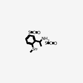 O=C=S.O=C=S.[CH3][Sn][c]1ccccc1C(C)N